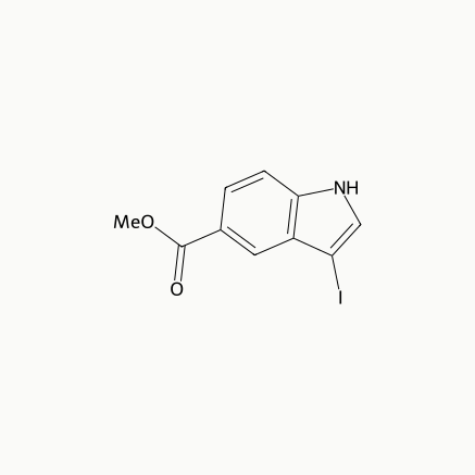 COC(=O)c1ccc2[nH]cc(I)c2c1